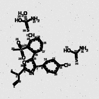 C.C=CC(C)c1nc(-c2ccc(Cl)cc2)c(-c2ccccc2S(C)(=O)=O)o1.NC(O)=S.NC(O)=S.O